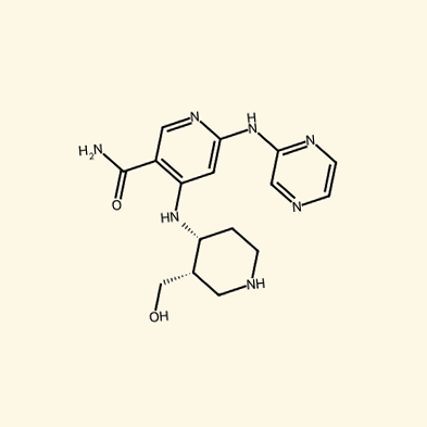 NC(=O)c1cnc(Nc2cnccn2)cc1N[C@@H]1CCNC[C@@H]1CO